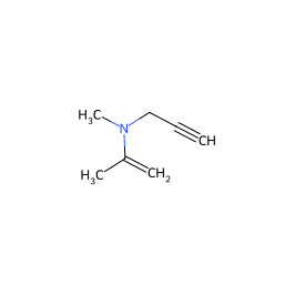 C#CCN(C)C(=C)C